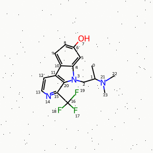 CC(Cn1c2cc(O)ccc2c2ccnc(C(F)(F)F)c21)N(C)C